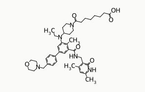 CCN(c1cc(-c2ccc(CN3CCOCC3)cc2)cc(C(=O)NCc2c(C)cc(C)[nH]c2=O)c1C)C1CCN(C(=O)CCCCCCC(=O)O)CC1